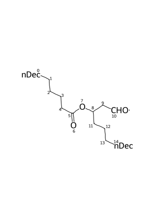 CCCCCCCCCCCCCCC(=O)OC(C[C]=O)CCCCCCCCCCCCC